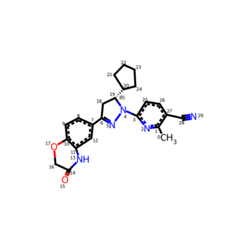 Cc1nc(N2N=C(c3ccc4c(c3)NC(=O)CO4)C[C@@H]2C2CCCC2)ccc1C#N